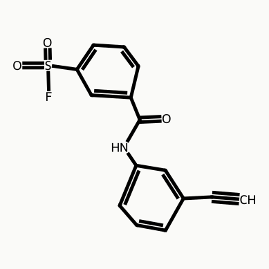 C#Cc1cccc(NC(=O)c2cccc(S(=O)(=O)F)c2)c1